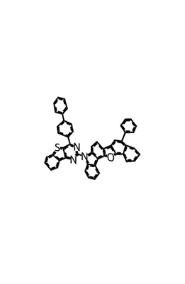 c1ccc(-c2ccc(-c3nc(-n4c5ccccc5c5c6oc7c8ccccc8c(-c8ccccc8)cc7c6ccc54)nc4c3sc3ccccc34)cc2)cc1